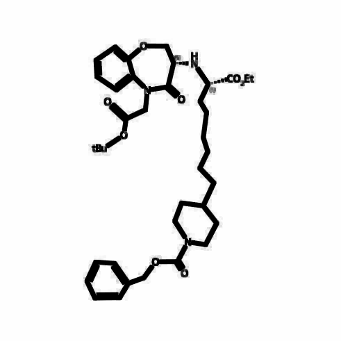 CCOC(=O)[C@H](CCCCCCC1CCN(C(=O)OCc2ccccc2)CC1)N[C@H]1COc2ccccc2N(CC(=O)OC(C)(C)C)C1=O